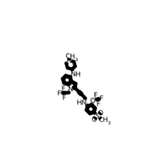 CN1CCC(Nc2cccc3c2cc(C#CCNc2ccc(S(C)(=O)=O)cc2OC(F)(F)F)n3CC(F)(F)F)CC1